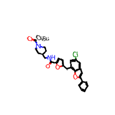 CC(C)COC(=O)N1CCC(CNC(=O)c2ccc(Cc3cc(Cl)cc4cc(-c5ccccc5)oc34)o2)CC1